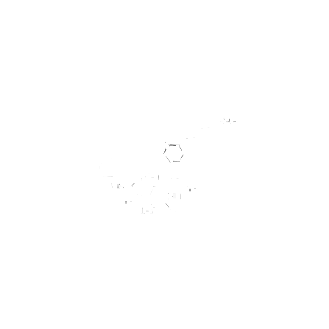 COCCCCc1cc(CC(CC(NC(=O)OC(C)(C)C)C(O)CC(C(=O)NC2CCOCC2)C(C)C)C(C)C)ccn1